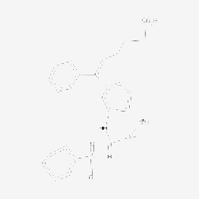 CC(C)(C)NC(=NS(=O)(=O)c1ccccc1)Nc1cccc(/C(=C\CCCC(=O)O)c2cccnc2)c1